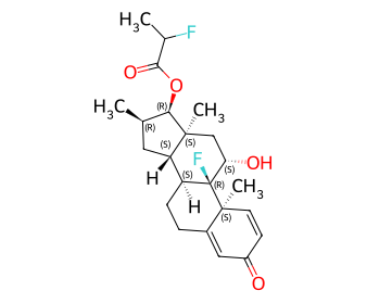 CC(F)C(=O)O[C@@H]1[C@H](C)C[C@H]2[C@@H]3CCC4=CC(=O)C=C[C@]4(C)[C@@]3(F)[C@@H](O)C[C@]12C